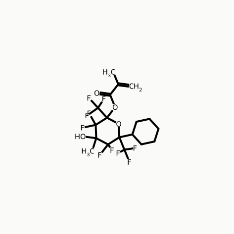 C=C(C)C(=O)OC1(C(F)(F)F)OC(C2CCCCC2)(C(F)(F)F)C(F)(F)C(C)(O)C1(F)F